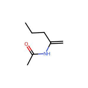 C=C(CCC)NC(C)=O